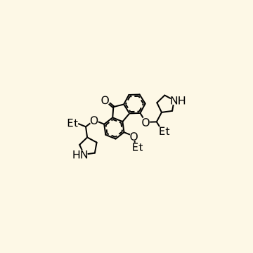 CCOc1ccc(OC(CC)C2CCNC2)c2c1-c1c(OC(CC)C3CCNC3)cccc1C2=O